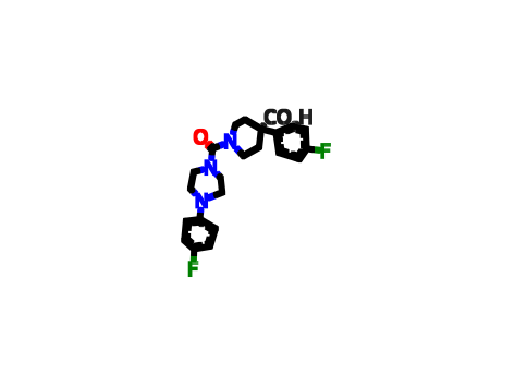 O=C(N1CCN(c2ccc(F)cc2)CC1)N1CCC(C(=O)O)(c2ccc(F)cc2)CC1